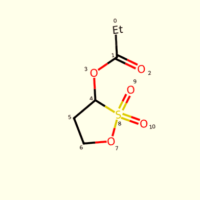 CCC(=O)OC1CCOS1(=O)=O